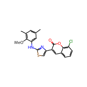 COc1c(C)cc(C)cc1Nc1nc(-c2cc3cccc(Cl)c3oc2=O)cs1